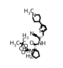 CN1CCC(c2ccc(C[C@@H](C#N)NC(=O)[C@@H]3C4CC[C@H](C4)N3C(=O)OC(C)(C)C)s2)CC1